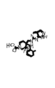 Cc1ccccc1CC1(CNc2ncc3cn[nH]c3n2)CCN(C(=O)O)CC1(F)F